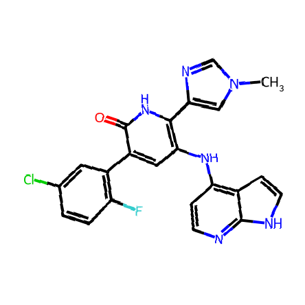 Cn1cnc(-c2[nH]c(=O)c(-c3cc(Cl)ccc3F)cc2Nc2ccnc3[nH]ccc23)c1